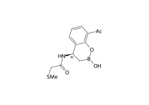 CSCC(=O)N[C@@H]1CB(O)Oc2c(C(C)=O)cccc21